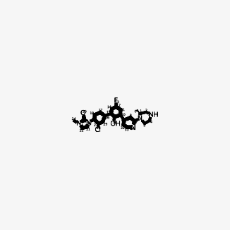 C[C@H]1CNCCN1c1cc(-c2cc(F)cc(-c3ccc(-n4ccn(C)c4=O)c(Cl)c3)c2O)ccn1